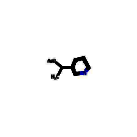 CC(=O)OC(C)c1cccnc1